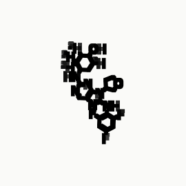 [2H]C1CC(Nc2ncc3nc(Nc4c(F)cc(F)cc4F)n(C4CCOC4)c3n2)C([2H])([2H])C([2H])C1O